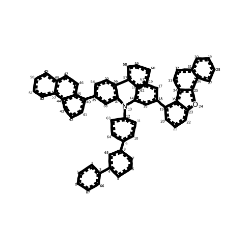 c1ccc(-c2cccc(-c3ccc(N(c4cccc(-c5cccc6oc7c8ccccc8ccc7c56)c4)c4cc(-c5cccc6c5ccc5ccccc56)ccc4-c4ccccc4)cc3)c2)cc1